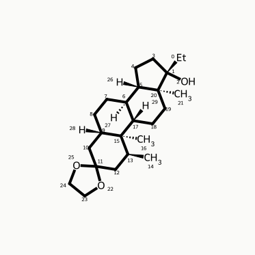 CC[C@]1(O)CC[C@H]2[C@@H]3CC[C@H]4CC5(C[C@H](C)[C@]4(C)[C@H]3CC[C@@]21C)OCCO5